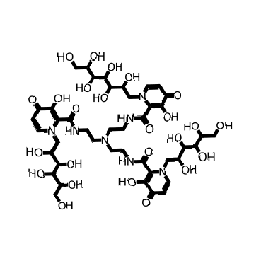 O=C(NCCN(CCNC(=O)c1c(O)c(=O)ccn1CC(O)C(O)C(O)C(O)CO)CCNC(=O)c1c(O)c(=O)ccn1CC(O)C(O)C(O)C(O)C(O)CO)c1c(O)c(=O)ccn1CC(O)C(O)C(O)C(O)CO